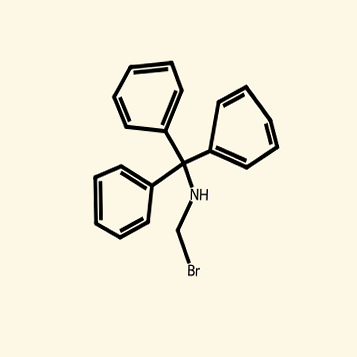 BrCNC(c1ccccc1)(c1ccccc1)c1ccccc1